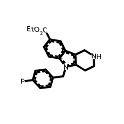 CCOC(=O)c1ccc2c(c1)c1c(n2Cc2ccc(F)cc2)CCNC1